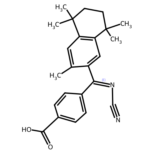 Cc1cc2c(cc1/C(=N/C#N)c1ccc(C(=O)O)cc1)C(C)(C)CCC2(C)C